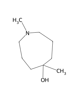 CN1CCCC(C)(O)CCC1